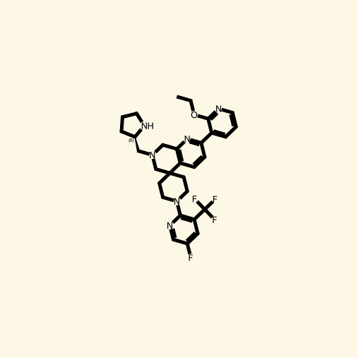 CCOc1ncccc1-c1ccc2c(n1)CN(C[C@H]1CCCN1)CC21CCN(c2ncc(F)cc2C(F)(F)F)CC1